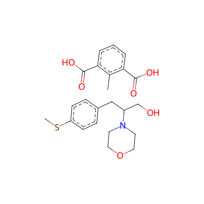 CSc1ccc(CC(CO)N2CCOCC2)cc1.Cc1c(C(=O)O)cccc1C(=O)O